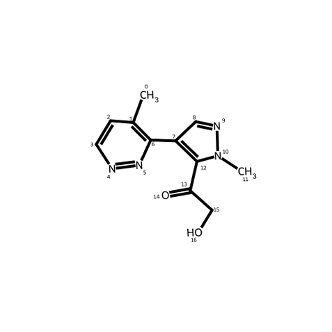 Cc1ccnnc1-c1cnn(C)c1C(=O)CO